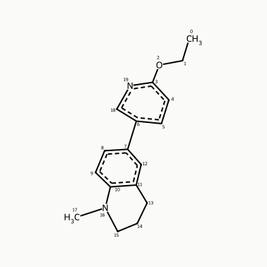 CCOc1ccc(-c2ccc3c(c2)CCCN3C)cn1